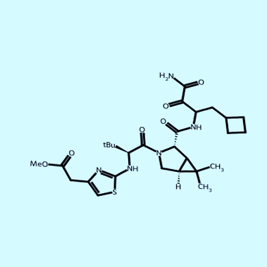 COC(=O)Cc1csc(N[C@H](C(=O)N2C[C@H]3C([C@H]2C(=O)NC(CC2CCC2)C(=O)C(N)=O)C3(C)C)C(C)(C)C)n1